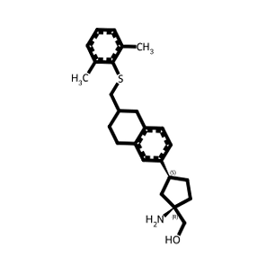 Cc1cccc(C)c1SCC1CCc2cc([C@H]3CC[C@](N)(CO)C3)ccc2C1